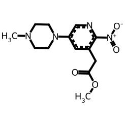 COC(=O)Cc1cc(N2CCN(C)CC2)cnc1[N+](=O)[O-]